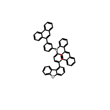 c1cc(-c2cc3ccccc3c3ccccc23)cc(N(c2ccc(-c3cccc4oc5ccccc5c34)cc2)c2ccccc2-c2ccc3ccccc3c2)c1